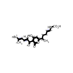 CCCC/C(C)=C/C=C(\C)C(=O)c1c(O)cc(C(C)CC/C=C/NC(=O)O)oc1=O